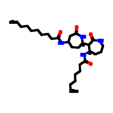 CCCCCCCCCCCCCCCCCC(=O)NC1CC[C@H](C2C(=O)NCCC[C@@H]2NC(=O)CCCCCCCCCCCCCCC)NC(=O)C1